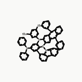 CC(C)(C)c1cc(N2c3cc4c(-c5ccccc5)c5ccccc5c(-c5ccccc5)c4cc3B3c4c(cc(N(c5ccccc5)c5ccccc5)cc42)-c2cccc4c5ccccc5n3c24)cc(C(C)(C)C)c1